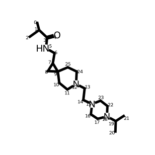 CC(C)C(=O)NCC1CC12CCN(CCN1CCN(C(C)C)CC1)CC2